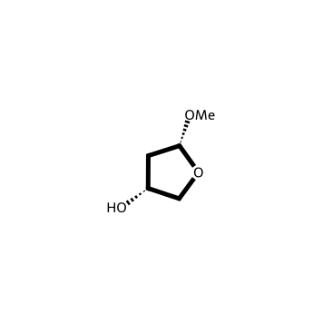 CO[C@H]1C[C@@H](O)CO1